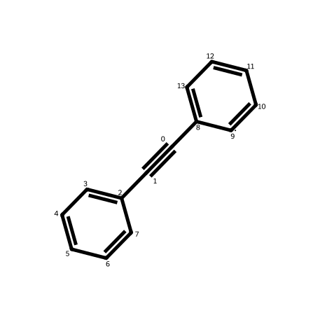 C(#Cc1ccccc1)c1[c]cccc1